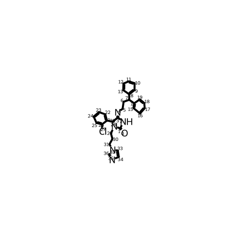 O=C1NC(=NCCC(c2ccccc2)c2ccccc2)C(c2ccccc2Cl)N1CCCn1ccnc1